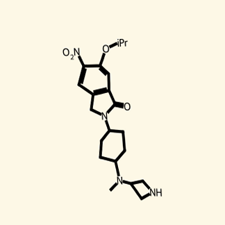 CC(C)Oc1cc2c(cc1[N+](=O)[O-])CN(C1CCC(N(C)C3CNC3)CC1)C2=O